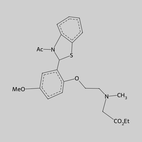 CCOC(=O)CN(C)CCOc1ccc(OC)cc1C1Sc2ccccc2N1C(C)=O